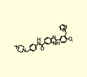 COc1ccc(-c2nc3ccc(C(=O)Nc4ccc(CN5CCN(C)CC5)cc4)cc3[nH]2)cc1Cn1cccn1